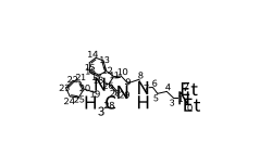 CCN(CC)CCCCNCc1cc2c3ccccc3n(Cc3ccccc3)c2c(C)n1